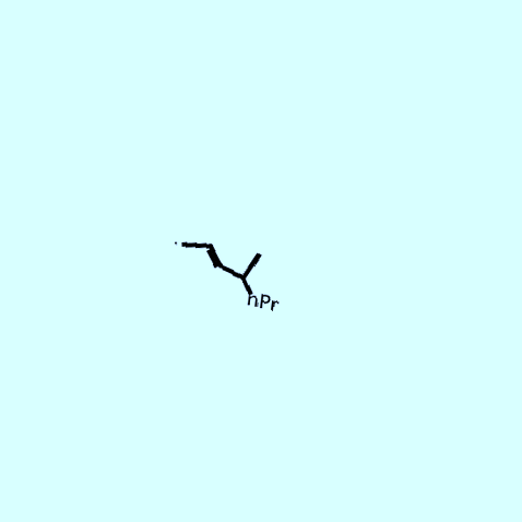 [CH2]C=CC(C)CCC